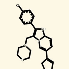 Clc1ccc(C2=C(CN3CCOCC3)N3C=C(C4=CCCC4)C=CC3N2)cc1